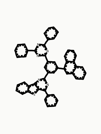 c1ccc(-c2nc(-c3ccccc3)nc(-c3cc(-c4nc(-c5ccccc5)c5sc6ccccc6c5n4)cc(-c4cc5ccccc5c5ccccc45)c3)n2)cc1